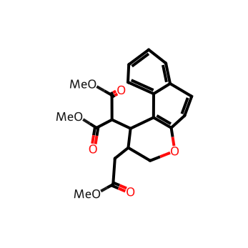 COC(=O)CC1COc2ccc3ccccc3c2C1C(C(=O)OC)C(=O)OC